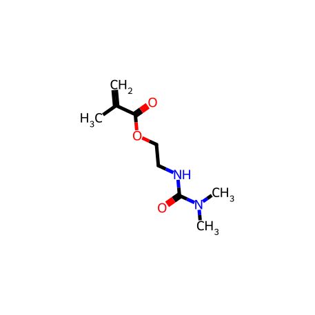 C=C(C)C(=O)OCCNC(=O)N(C)C